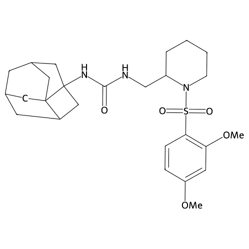 COc1ccc(S(=O)(=O)N2CCCCC2CNC(=O)NC23CC4CC5CC(C2)C3(C5)C4)c(OC)c1